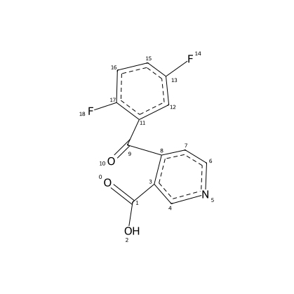 O=C(O)c1cnccc1C(=O)c1cc(F)ccc1F